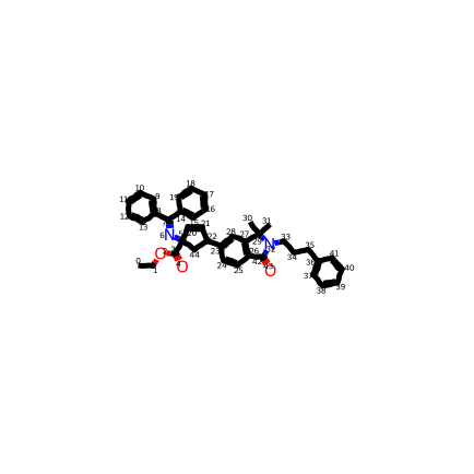 CCOC(=O)C1(N=C(c2ccccc2)c2ccccc2)C=CC(c2ccc3c(c2)C(C)(C)N(CCCc2ccccc2)C3=O)C1